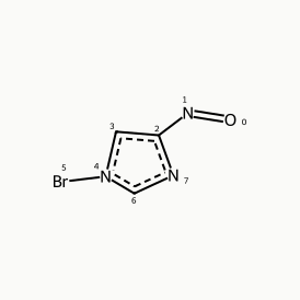 O=Nc1cn(Br)cn1